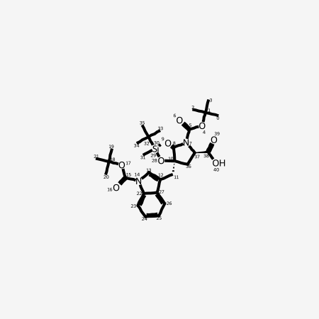 CC(C)(C)OC(=O)N1C(=O)[C@](Cc2cn(C(=O)OC(C)(C)C)c3ccccc23)(O[Si](C)(C)C(C)(C)C)C[C@@H]1C(=O)O